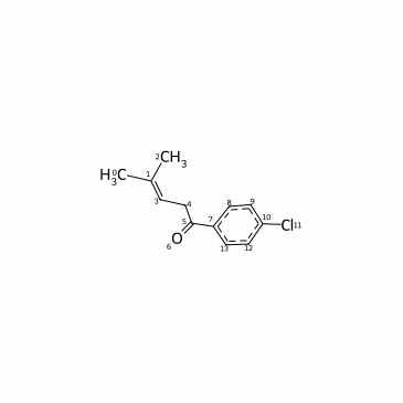 CC(C)=CCC(=O)c1ccc(Cl)cc1